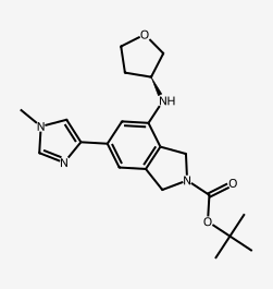 Cn1cnc(-c2cc3c(c(N[C@H]4CCOC4)c2)CN(C(=O)OC(C)(C)C)C3)c1